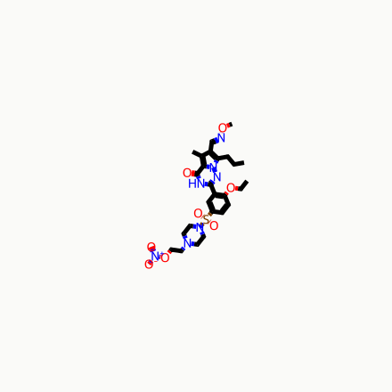 CCCc1c(/C=N/OC)c(C)c2c(=O)[nH]c(-c3cc(S(=O)(=O)N4CCN(CCO[N+](=O)[O-])CC4)ccc3OCC)nn12